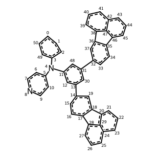 c1ccc(N(c2ccncc2)c2cc(-c3ccc4c(c3)-c3cccc5cccc-4c35)cc(-c3ccc4c(c3)-c3cccc5cccc-4c35)c2)cc1